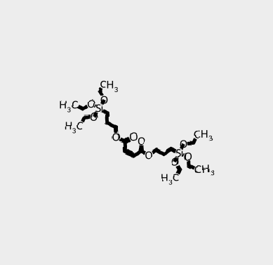 CCO[Si](CCCOC(=O)/C=C\C(=O)OCCC[Si](OCC)(OCC)OCC)(OCC)OCC